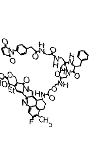 CC[C@@]1(O)C(=O)OCc2c1cc1n(c2=O)Cc2c-1nc1cc(F)c(C)c3c1c2[C@@H](NC(=O)COCNC(=O)CNC(=O)[C@H](Cc1ccccc1)NC(=O)CNC(=O)CNC(=O)Cc1ccc(N2C(=O)C=CC2=O)cc1)CC3